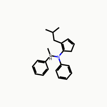 CC(C)CC1=C(N(c2ccccc2)[SiH](C)c2ccccc2)CC=C1